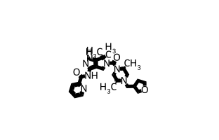 C[C@@H]1CN(C(=O)N2Cc3c(NC(=O)c4ccccn4)n[nH]c3C2(C)C)[C@@H](C)CN1CC1CCOC1